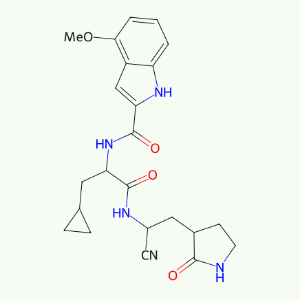 COc1cccc2[nH]c(C(=O)NC(CC3CC3)C(=O)NC(C#N)CC3CCNC3=O)cc12